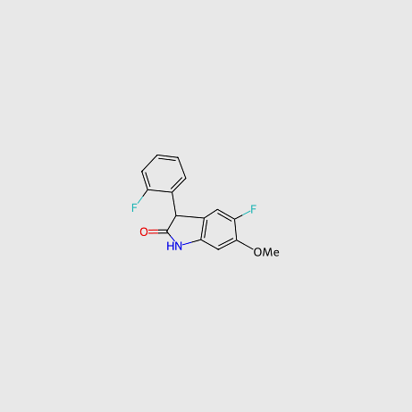 COc1cc2c(cc1F)C(c1ccccc1F)C(=O)N2